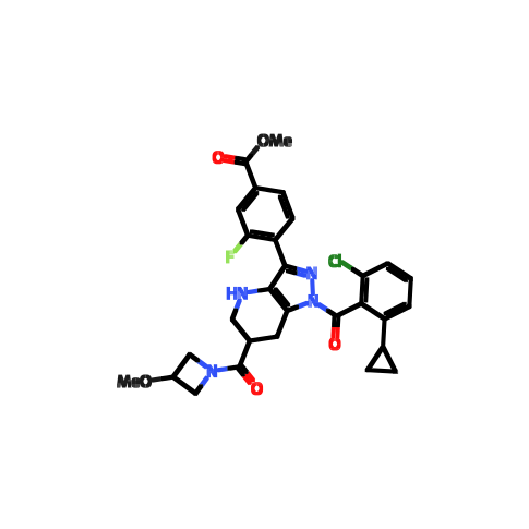 COC(=O)c1ccc(-c2nn(C(=O)c3c(Cl)cccc3C3CC3)c3c2NCC(C(=O)N2CC(OC)C2)C3)c(F)c1